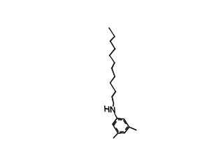 CCCCCCCCCCCCNc1cc(C)cc(C)c1